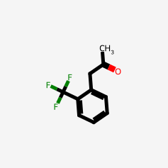 CC(=O)Cc1ccccc1C(F)(F)F